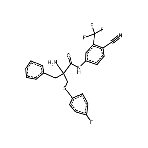 N#Cc1ccc(NC(=O)C(N)(CSc2ccc(F)cc2)Cc2ccccc2)cc1C(F)(F)F